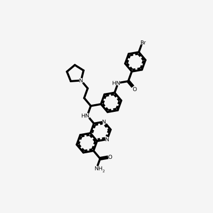 NC(=O)c1cccc2c(NC(CCN3CCCC3)c3cccc(NC(=O)c4ccc(Br)cc4)c3)ncnc12